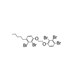 CCCCCc1ccc(OCCOc2ccc(Br)c(Br)c2Br)c(Br)c1Br